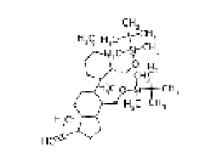 C#CC1CCC2[C@H](CO[Si](C)(C)C(C)(C)C)C([C@@]3(C)CC[C@H](C)C[C@@H]3CO[Si](C)(C)C(C)(C)C)CC[C@]12C